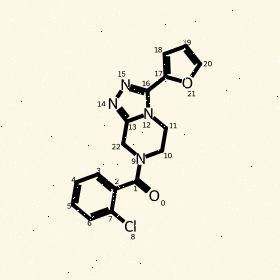 O=C(c1ccccc1Cl)N1CCn2c(nnc2-c2ccco2)C1